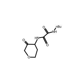 CCCCNC(=O)C(=O)NC1CCOCC1=O